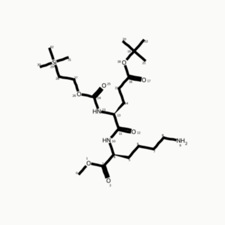 COC(=O)[C@H](CCCCN)NC(=O)[C@H](CCC(=O)OC(C)(C)C)NC(=O)OCC[Si](C)(C)C